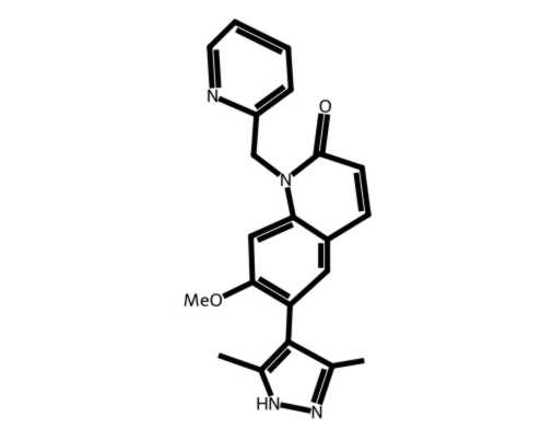 COc1cc2c(ccc(=O)n2Cc2ccccn2)cc1-c1c(C)n[nH]c1C